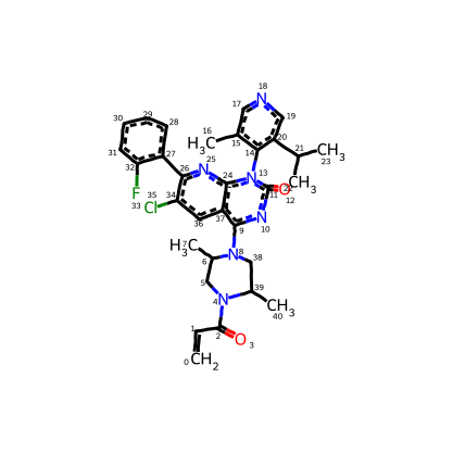 C=CC(=O)N1CC(C)N(c2nc(=O)n(-c3c(C)cncc3C(C)C)c3nc(-c4ccccc4F)c(Cl)cc23)CC1C